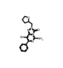 Nc1nc(-c2ccccc2)c(Br)c2nn(CC3CCCO3)c(=O)n12